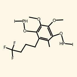 COc1c(OPI)c(C)c(CCCC(F)(F)F)c(OPI)c1OC